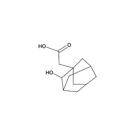 O=C(O)CC12CC3CC(CC(C3)C1O)C2